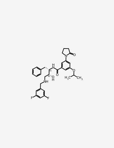 CC(C)Oc1cc(C(=O)N[C@@H](Cc2ccccc2)[C@H](O)CNCc2cc(F)cc(F)c2)cc(N2CCCC2=O)c1